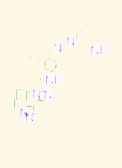 Cn1c(-c2cn(C3CC4(CC4)C3)nc2C(F)(F)F)cnc1C(=O)Nc1ccc(C(=O)N2CCN(C(=O)C3CCNCC3)CC2)c(Cl)c1